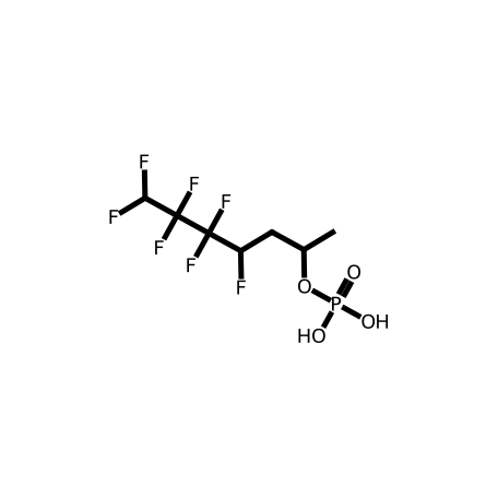 CC(CC(F)C(F)(F)C(F)(F)C(F)F)OP(=O)(O)O